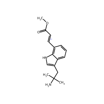 COC(=O)/C=C/c1cccc2c(CC(C)(C)N)c[nH]c12